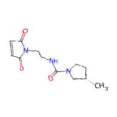 C[C@H]1CCN(C(=O)NCCN2C(=O)C=CC2=O)C1